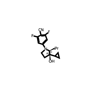 CC(C)[C@@H]1N(c2cc(F)c(C#N)c(F)c2)CC[C@@]1(O)C1CC1